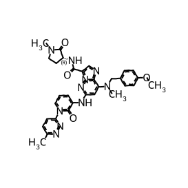 COc1ccc(CN(C)c2cc(Nc3cccn(-c4ccc(C)nn4)c3=O)nn3c(C(=O)N[C@@H]4CCN(C)C4=O)cnc23)cc1